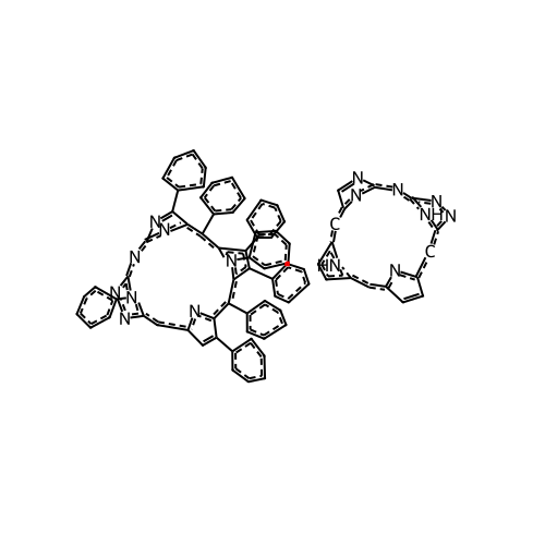 C1=C(c2ccccc2)c2nc1cc1nnc(nc3nc(c(-c4ccccc4)c4c(-c5ccccc5)c(-c5ccccc5)c(c2-c2ccccc2)n4-c2ccccc2)C(c2ccccc2)=N3)n1-c1ccccc1.C1=Cc2cc3nnc(nc4nc(cc5ccc(cc1n2)[nH]5)C=N4)[nH]3